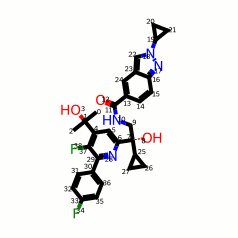 CC(C)(O)c1cc([C@@](O)(CNC(=O)c2ccc3nn(C4CC4)cc3c2)C2CC2)nc(-c2ccc(F)cc2)c1F